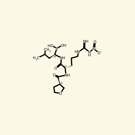 CC(C)C[C@H](NC(=O)[C@H](CCCNC(=N)N[N+](=O)[O-])NC(=O)[C@@H]1CCOC1)B(O)O